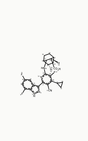 N#Cc1c(-c2n[nH]c3c(F)cc(F)cc23)nc(N[C@H]2C3CCC(CC3)[C@@H]2C(=O)O)c(F)c1C1CC1